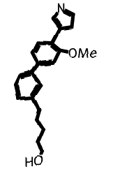 COc1cc(-c2cccc(CCCCCO)c2)ccc1C1=CN=CC1